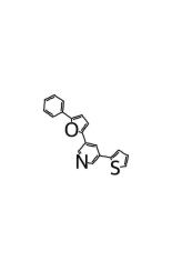 c1ccc(-c2ccc(-c3cncc(-c4cccs4)c3)o2)cc1